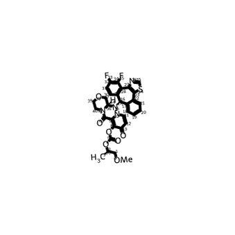 COC[C@@H](C)OC(=O)Oc1c2n(ccc1=O)N([C@@H]1c3ccccc3-c3scnc3-c3c1ccc(F)c3F)[C@@H]1COCCN1C2=O